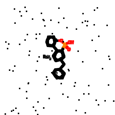 O=P1(O)Oc2ccccc2-c2ccc(Cc3ccccc3)cc21.[BaH2]